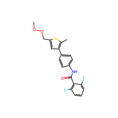 COOCc1cc(-c2ccc(NC(=O)c3c(F)cccc3F)cc2)c(C)s1